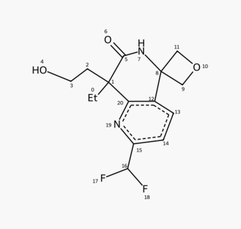 CCC1(CCO)C(=O)NC2(COC2)c2ccc(C(F)F)nc21